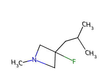 CC(C)CC1(F)CN(C)C1